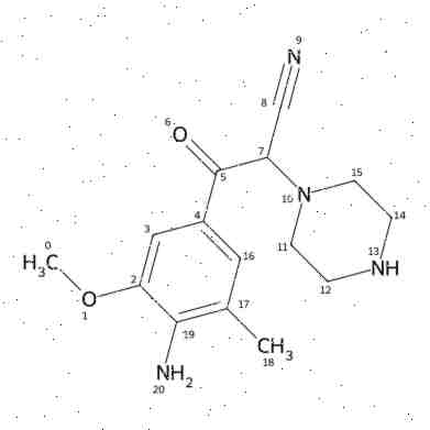 COc1cc(C(=O)C(C#N)N2CCNCC2)cc(C)c1N